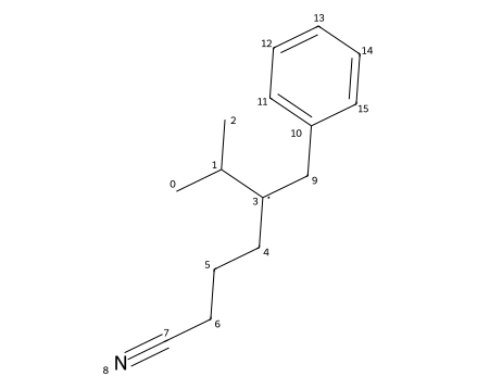 CC(C)[C](CCCC#N)Cc1ccccc1